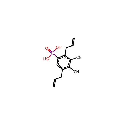 C=CCc1cc(P(=O)(O)O)c(CC=C)c(C#N)c1C#N